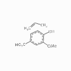 C=CC.COc1cc(C(=O)O)ccc1O